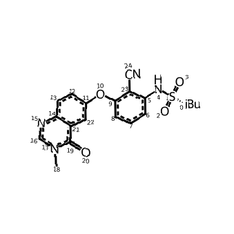 CC[C@@H](C)S(=O)(=O)Nc1cccc(Oc2ccc3ncn(C)c(=O)c3c2)c1C#N